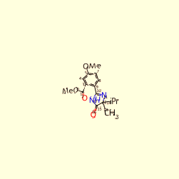 COC(=O)c1cc(OC)ccc1C1=NC(C)(C(C)C)C(=O)N1